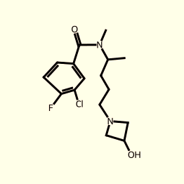 CC(CCCN1CC(O)C1)N(C)C(=O)c1ccc(F)c(Cl)c1